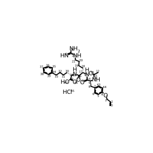 C=CCOc1ccc(C[C@H](NC(C)=O)C(=O)N[C@@H](CCCCNC(=N)N)C(=O)N[C@@H](CCCCc2ccccc2)C(=O)O)cc1.Cl